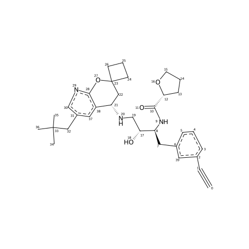 C#Cc1cccc(C[C@H](NC(=O)[C@H]2CCCO2)[C@H](O)CN[C@H]2CC3(CCC3)Oc3ncc(CC(C)(C)C)cc32)c1